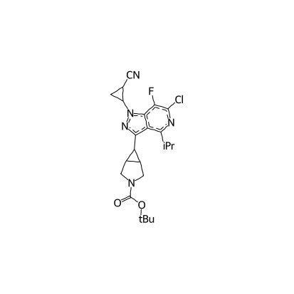 CC(C)c1nc(Cl)c(F)c2c1c(C1C3CN(C(=O)OC(C)(C)C)CC31)nn2C1CC1C#N